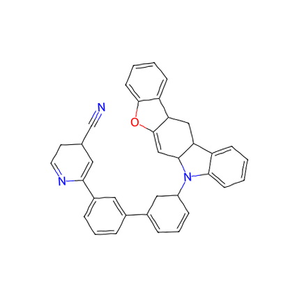 N#CC1C=C(c2cccc(C3=CC=CC(N4c5ccccc5C5CC6C(=CC54)Oc4ccccc46)C3)c2)N=CC1